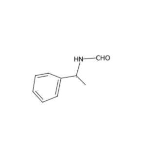 C[C](NC=O)c1ccccc1